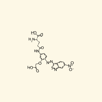 NC(CCC(=O)Nc1ccc(N=Nc2snc3cc([N+](=O)[O-])ccc23)c(OCC(=O)O)c1)C(=O)O